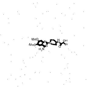 COc1cc2nc(N3CCC(NC(=O)C(O)C(C)C)CC3)nc(N)c2cc1OC